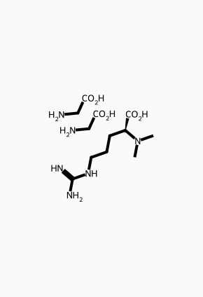 CN(C)[C@@H](CCCNC(=N)N)C(=O)O.NCC(=O)O.NCC(=O)O